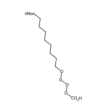 CCCCCCCCCCCCCCCCCOOOOC(=O)O